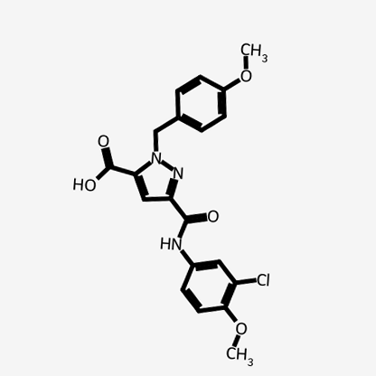 COc1ccc(Cn2nc(C(=O)Nc3ccc(OC)c(Cl)c3)cc2C(=O)O)cc1